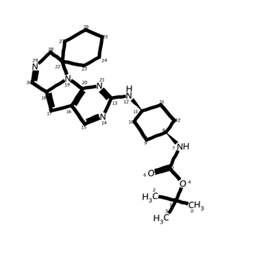 CC(C)(C)OC(=O)N[C@H]1CC[C@@H](Nc2ncc3cc4n(c3n2)C2(CCCCC2)CN=C4)CC1